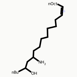 CCCCCCCC/C=C\CCCCCCCC(N)CC(O)CCCC